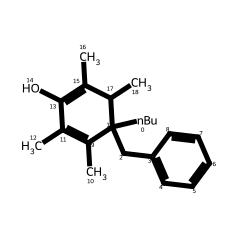 CCCCC1(Cc2ccccc2)C(C)=C(C)C(O)=C(C)C1C